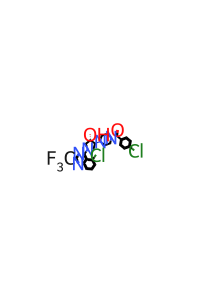 O=C(c1ccc(Cl)cc1)N1CCN([C@H]2CN(c3nc(C(F)(F)F)nc4cccc(Cl)c34)C[C@@H]2O)CC1